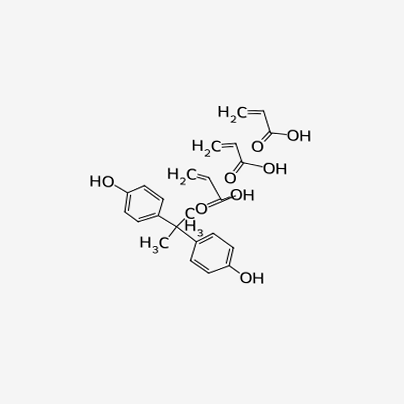 C=CC(=O)O.C=CC(=O)O.C=CC(=O)O.CC(C)(c1ccc(O)cc1)c1ccc(O)cc1